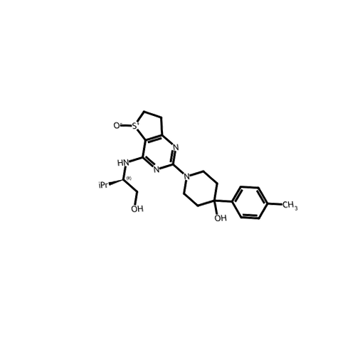 Cc1ccc(C2(O)CCN(c3nc4c(c(N[C@@H](CO)C(C)C)n3)[S+]([O-])CC4)CC2)cc1